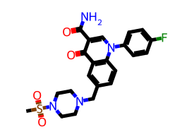 CS(=O)(=O)N1CCN(Cc2ccc3c(c2)c(=O)c(C(N)=O)cn3-c2ccc(F)cc2)CC1